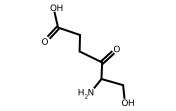 NC(CO)C(=O)CCC(=O)O